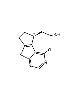 OCC[C@@H]1CCc2sc3ncnc(Cl)c3c21